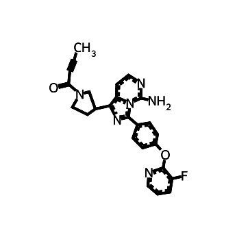 CC#CC(=O)N1CCC(c2nc(-c3ccc(Oc4ncccc4F)cc3)n3c(N)nccc23)C1